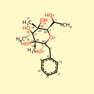 CC(O)[C@H]1O[C@@](O)(Cc2ccccc2)[C@](C)(O)[C@@](C)(O)[C@]1(C)O